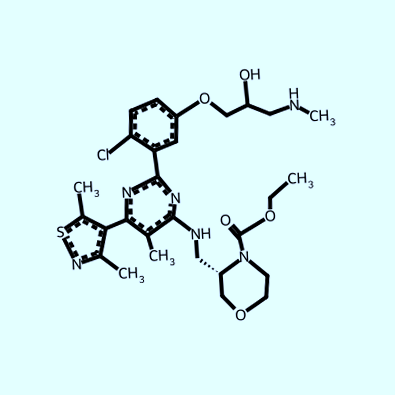 CCOC(=O)N1CCOC[C@@H]1CNc1nc(-c2cc(OCC(O)CNC)ccc2Cl)nc(-c2c(C)nsc2C)c1C